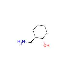 NC[C@H]1CCCC[C@@H]1O